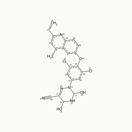 C=Cc1cc(C)c2cc(Oc3c(Cl)cc(N4N=C(C#N)C(O)NC4O)cc3Cl)ccc2n1